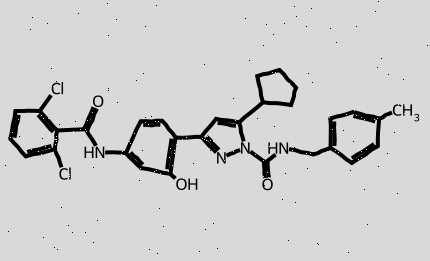 Cc1ccc(CNC(=O)n2nc(-c3ccc(NC(=O)c4c(Cl)cccc4Cl)cc3O)cc2C2CCCC2)cc1